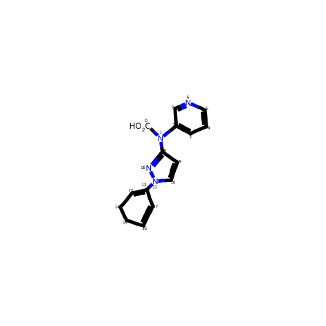 O=C(O)N(c1cccnc1)c1ccn(C2=CCCC=C2)n1